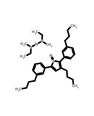 CCCCC1=C(c2cccc(CCCC)c2)[N+](=[N-])C(c2cccc(CCCC)c2)=C1.CC[N](C)[Ni][N](C)CC